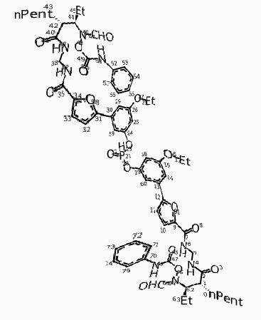 CCCCC[C@@H](C(=O)NCNC(=O)c1ccc(-c2cc(OCC)cc(O[PH](=O)Oc3cc(OCC)cc(-c4ccc(C(=O)NCNC(=O)[C@H](CCCCC)[C@@H](CC)N(C=O)OC(=O)Nc5ccccc5)o4)c3)c2)o1)[C@@H](CC)N(C=O)OC(=O)Nc1ccccc1